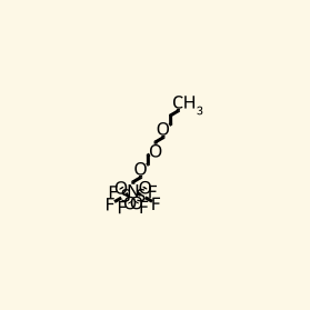 CCCCOCCOCCOCCN(S(=O)(=O)C(F)(F)F)S(=O)(=O)C(F)(F)F